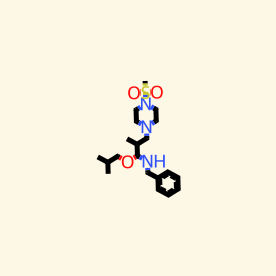 CC(C)COC(NCc1ccccc1)C(C)CN1CCN(S(C)(=O)=O)CC1